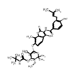 CO[C@@H]1[C@@H](OC(=O)NC(C)(C)C)[C@@H](O)[C@H](Oc2ccc3c(O)c(NC(=O)c4ccc(O)c(CC=C(C)C)c4)c(=O)oc3c2C)OC1(C)C